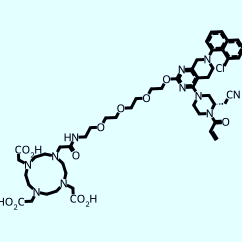 C=CC(=O)N1CCN(c2nc(OCCOCCOCCOCCNC(=O)CN3CCN(CC(=O)O)CCN(CC(=O)O)CCN(CC(=O)O)CC3)nc3c2CCN(c2cccc4cccc(Cl)c24)C3)C[C@@H]1CC#N